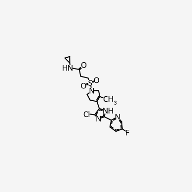 CC1=C(c2[nH]c(-c3ccc(F)cn3)nc2Cl)CCN(S(=O)(=O)CCC(=O)NC2CC2)C1